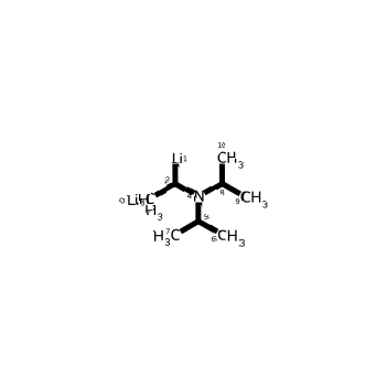 [LiH].[Li][CH](C)N(C(C)C)C(C)C